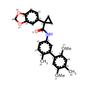 COc1cc(-c2cc(NC(=O)C3(c4ccc5c(c4)OCO5)CC3)ccc2C)c(OC)cc1C